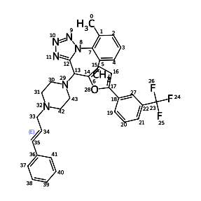 Cc1cccc(C)c1-n1nnnc1C(c1ccc(-c2cccc(C(F)(F)F)c2)o1)N1CCN(C/C=C/c2ccccc2)CC1